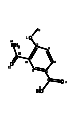 COc1ccc(C(=O)O)cc1C(N)=O